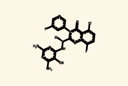 CC[C@H](Nc1nc(N)nc(N)c1C#N)c1nc2c(F)ccc(Cl)c2c(=O)n1-c1cncc(F)c1